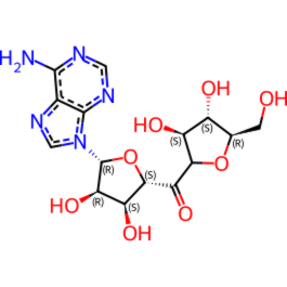 Nc1ncnc2c1ncn2[C@@H]1O[C@H](C(=O)C2O[C@H](CO)[C@@H](O)[C@@H]2O)[C@@H](O)[C@H]1O